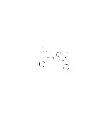 COc1ccc(-c2nc3c(C(=O)N4CCN(CC(N)=O)C[C@H]4Cc4ccccc4)cnn3c(C(F)(F)F)c2C)cc1